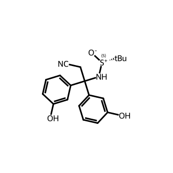 CC(C)(C)[S@@+]([O-])NC(CC#N)(c1cccc(O)c1)c1cccc(O)c1